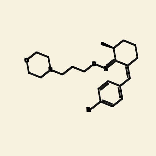 C[C@H]1CCCC(=Cc2ccc(Br)cc2)C1=NOCCCN1CCOCC1